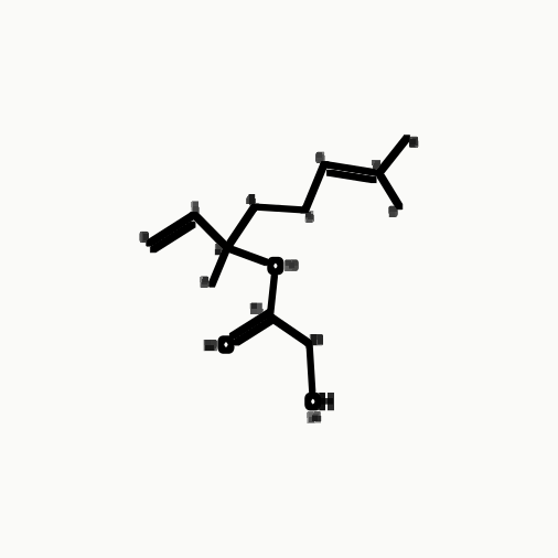 C=CC(C)(CCC=C(C)C)OC(=O)CO